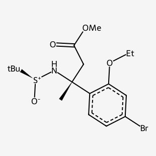 CCOc1cc(Br)ccc1[C@@](C)(CC(=O)OC)N[S@@+]([O-])C(C)(C)C